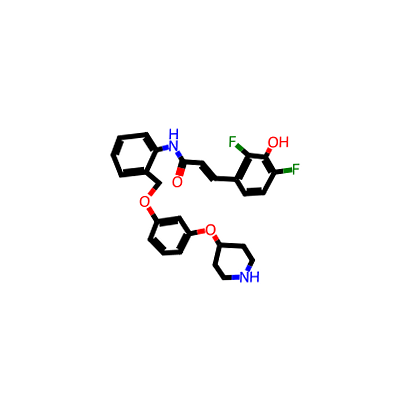 O=C(C=Cc1ccc(F)c(O)c1F)Nc1ccccc1COc1cccc(OC2CCNCC2)c1